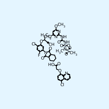 C#CC(C)Oc1cc(N2C(=O)C3=C(CCCC3)C2=O)c(F)cc1Cl.COc1cc(OC)nc(NC(=O)NS(=O)(=O)N(C)S(C)(=O)=O)n1.O=C(O)COc1ccc(Cl)c2cccnc12